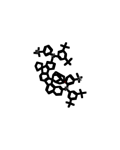 CC(C)(C)c1cc(N(c2cccc([Si](C)(C)C)c2)c2ccc3c(c2)C2(CCCC2)c2ccc4c(c2-3)C2(c3c-4ccc4ccc(N(c5cc(C(C)(C)C)cc(C(C)(C)C)c5)c5cccc([Si](C)(C)C)c5)cc34)C3CC4CC(C3)CC2C4)cc(C(C)(C)C)c1